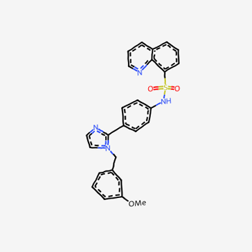 COc1cccc(Cn2ccnc2-c2ccc(NS(=O)(=O)c3cccc4cccnc34)cc2)c1